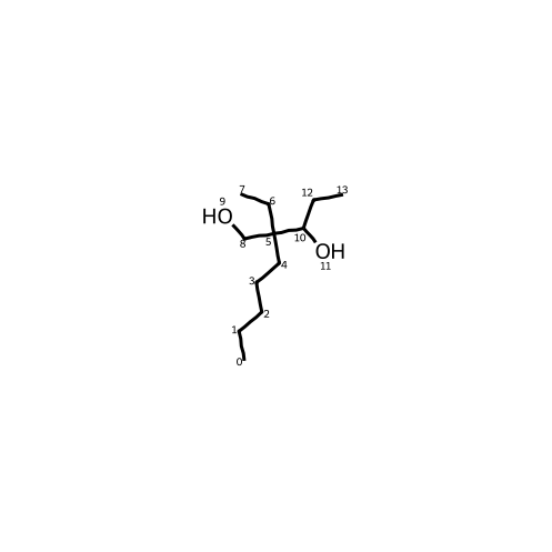 CCCCCC(CC)(CO)C(O)CC